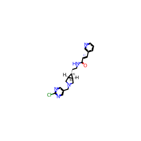 O=C(/C=C/c1cccnc1)NCC[C@@H]1[C@H]2CN(Cc3cnc(Cl)nc3)C[C@@H]12